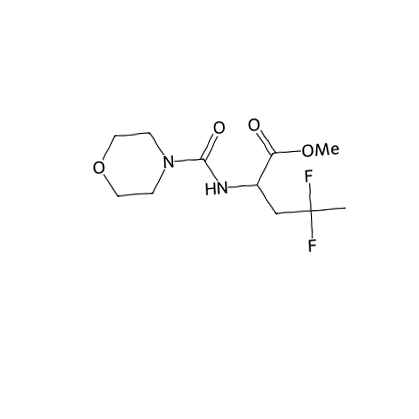 COC(=O)C(CC(C)(F)F)NC(=O)N1CCOCC1